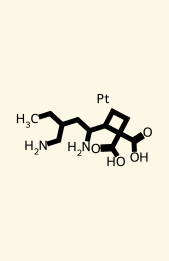 CCC(CN)CC(N)C1CCC1(C(=O)O)C(=O)O.[Pt]